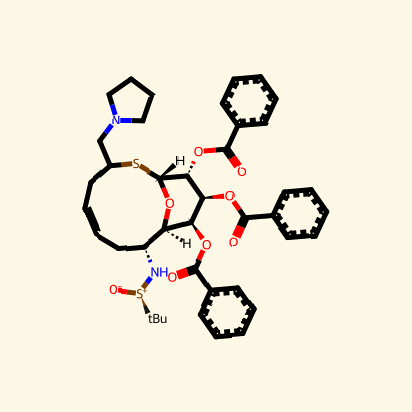 CC(C)(C)[S@@+]([O-])N[C@@H]1CC=CCC(CN2CCCC2)S[C@H]2O[C@H]1[C@H](OC(=O)c1ccccc1)[C@H](OC(=O)c1ccccc1)[C@H]2OC(=O)c1ccccc1